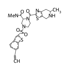 C#Cc1ccc2cc(S(=O)(=O)N3CCN(C(=O)c4nc5c(s4)CNC(C)C5)C(C(=O)NC)C3)sc2c1